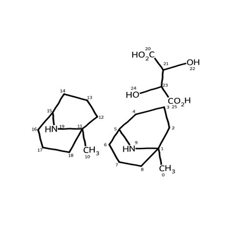 CC12CCCC(CCC1)N2.CC12CCCC(CCC1)N2.O=C(O)C(O)C(O)C(=O)O